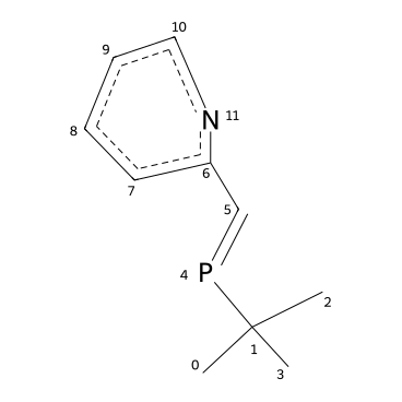 CC(C)(C)P=Cc1ccccn1